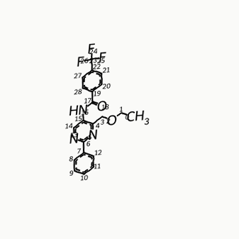 CCOCc1nc(-c2ccccc2)ncc1NC(=O)c1ccc(C(F)(F)F)cc1